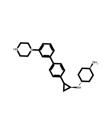 N[C@H]1CC[C@H](N[C@H]2CC2c2ccc(-c3cccc(N4CCNCC4)c3)cc2)CC1